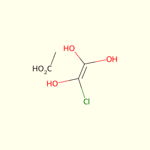 CC(=O)O.OC(O)=C(O)Cl